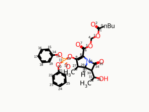 CCCCC(=O)OCOC(=O)C1=C(OP(=O)(Oc2ccccc2)Oc2ccccc2)C(C)[C@@H]2C(C(C)O)C(=O)N12